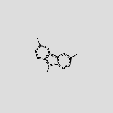 Cc1ccc2c(c1)c1cc(C)ccc1n2I